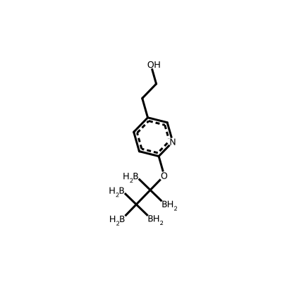 BC(B)(B)C(B)(B)Oc1ccc(CCO)cn1